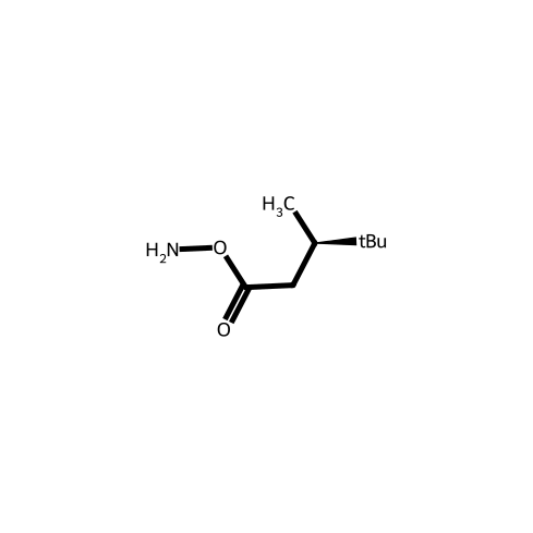 C[C@H](CC(=O)ON)C(C)(C)C